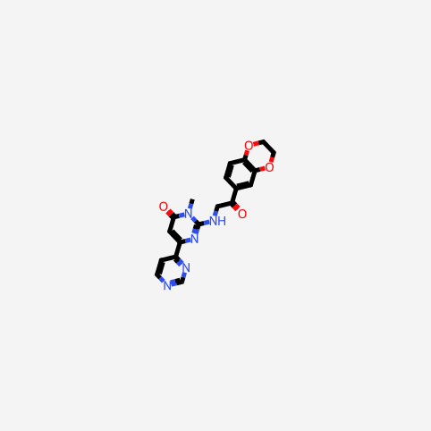 Cn1c(NCC(=O)c2ccc3c(c2)OCCO3)nc(-c2ccncn2)cc1=O